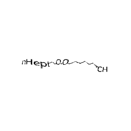 C#CCCCCCCOCOCCCCCCCCC